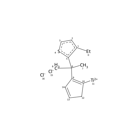 CCc1ccsc1C(C)(C)C1=[C]([Ti+2])CC=C1.[Cl-].[Cl-]